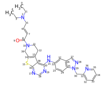 CCN(CC)CC=CC(=O)N1CCc2c(sc3ncnc(Nc4ccc5c(cnn5Cc5ccccn5)c4)c23)C1